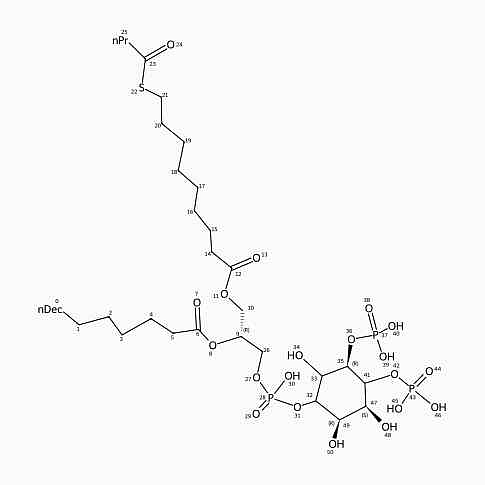 CCCCCCCCCCCCCCCC(=O)O[C@H](COC(=O)CCCCCCCCSC(=O)CCC)COP(=O)(O)OC1C(O)[C@@H](OP(=O)(O)O)C(OP(=O)(O)O)[C@@H](O)[C@H]1O